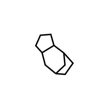 C1CC2CC3CCC(C3)C2C1